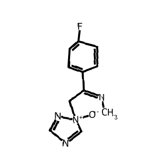 CN=C(C[N+]1([O-])C=NC=N1)c1ccc(F)cc1